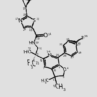 CC1(C)COc2c1cc([C@@](O)(CNC(=O)c1cnc(C3CC3)s1)C(F)(F)F)nc2-c1ccc(F)cc1